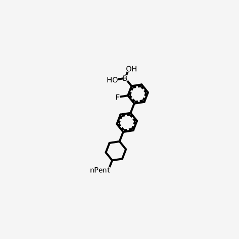 CCCCCC1CCC(c2ccc(-c3cccc(B(O)O)c3F)cc2)CC1